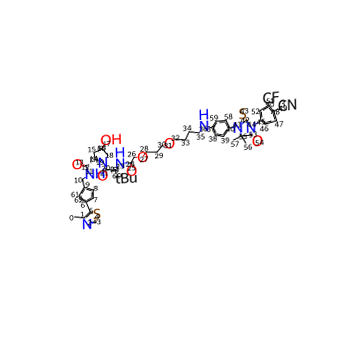 Cc1ncsc1-c1ccc(CNC(=O)[C@@H]2C[C@@H](O)CN2C(=O)[C@@H](NC(=O)COCCCOCCCCNc2ccc(N3C(=S)N(c4ccc(C#N)c(C(F)(F)F)c4)C(=O)C3(C)C)cc2)C(C)(C)C)cc1